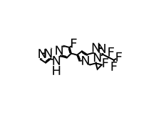 Cn1nccc1Nc1cc(-c2cc3n(c2)CC2(CC2)n2c-3nnc2C(F)(F)C(F)F)c(F)cn1